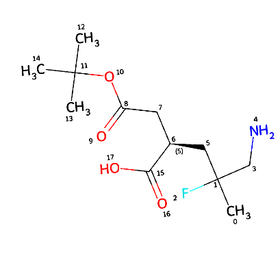 CC(F)(CN)C[C@H](CC(=O)OC(C)(C)C)C(=O)O